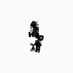 CC(c1cc(C(=O)N2C[C@@H]3[C@H](C2)C3(C)C2=NOC(C)(C)C2)n[nH]1)C1CC1